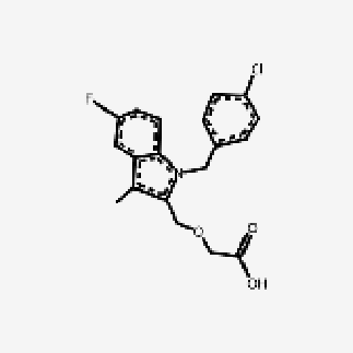 Cc1c(COCC(=O)O)n(Cc2ccc(Cl)cc2)c2ccc(F)cc12